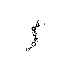 Cn1cc(-c2cccc(-c3ncc(-c4cnn(C5CCN(C=CC=O)CC5)c4)cn3)c2)cn1